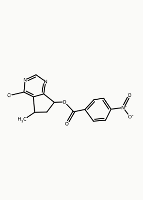 CC1CC(OC(=O)c2ccc([N+](=O)[O-])cc2)c2ncnc(Cl)c21